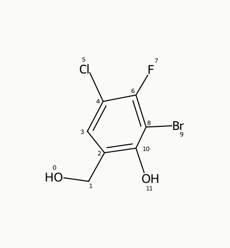 OCc1cc(Cl)c(F)c(Br)c1O